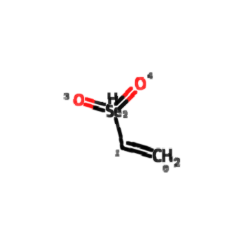 C=C[SeH](=O)=O